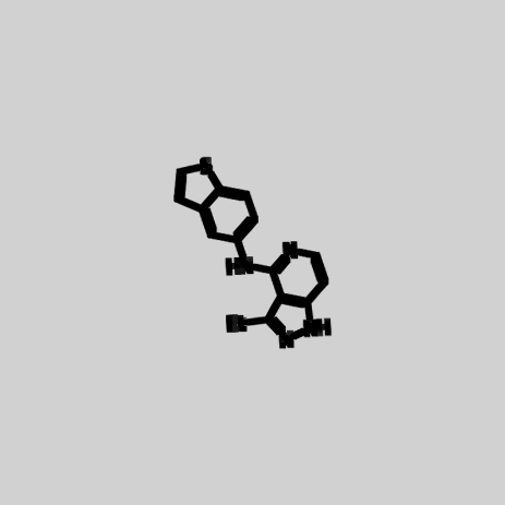 CCc1n[nH]c2ccnc(Nc3ccc4sccc4c3)c12